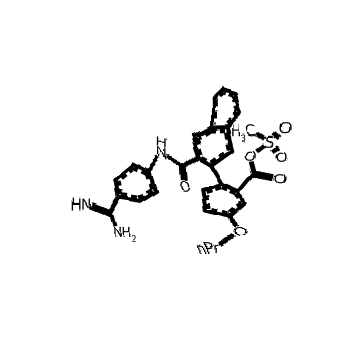 CCCOc1ccc(-c2cc3ccccc3cc2C(=O)Nc2ccc(C(=N)N)cc2)c(C(=O)OS(C)(=O)=O)c1